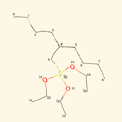 CCCCC(CCCC)CS(OCC)(OCC)OCC